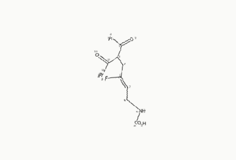 CC(C)C(=O)C(CC(F)=CCNC(=O)O)C(=O)C(C)C